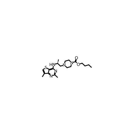 CCCCOC(=O)N1CCN(C[C@H](C)Nc2nc(C)nc3c(C)csc23)CC1